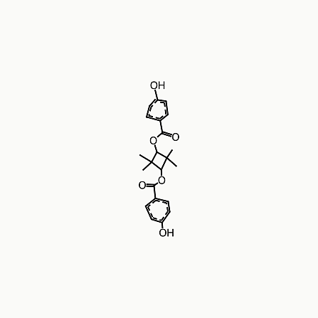 CC1(C)C(OC(=O)c2ccc(O)cc2)C(C)(C)C1OC(=O)c1ccc(O)cc1